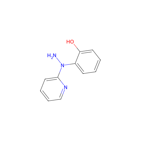 NN(c1ccccn1)c1ccccc1O